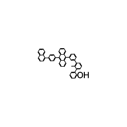 Cc1c(-c2cccc(-c3c4ccccc4c(-c4ccc(-c5cccc6ccccc56)cc4)c4ccccc34)c2)cccc1-c1ccccc1O